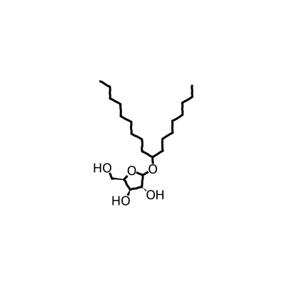 CCCCCCCCCC(CCCCCCCC)OC1O[C@H](CO)[C@H](O)[C@H]1O